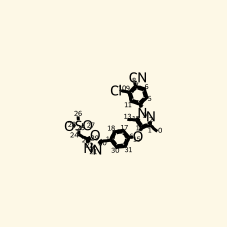 Cc1nn(-c2ccc(C#N)c(Cl)c2)c(C)c1Oc1ccc(-c2nnc(CS(C)(=O)=O)o2)cc1